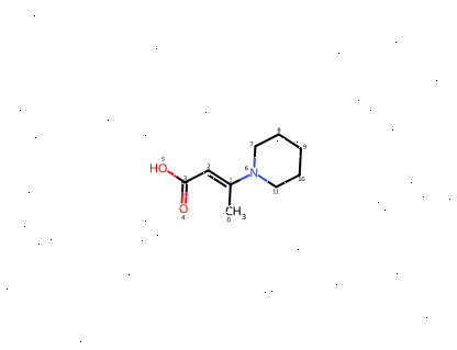 C/C(=C\C(=O)O)N1CCCCC1